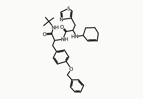 CC(C)(C)NC(=O)C(Cc1ccc(OCc2ccccc2)cc1)NC(=O)C(Cc1cscn1)NC1C=CCCC1